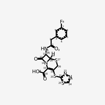 O=C(Cc1cccc(F)c1)N[C@@H]1C(=O)N2C(C(=O)O)=C(Sc3nncs3)CS[C@@H]12